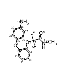 CNC(=O)C(F)(F)Oc1ccccc1Oc1ccc(N)cc1